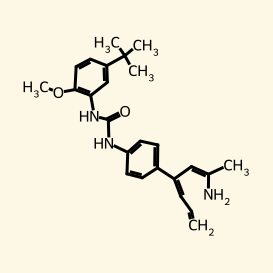 C=C/C=C(\C=C(\C)N)c1ccc(NC(=O)Nc2cc(C(C)(C)C)ccc2OC)cc1